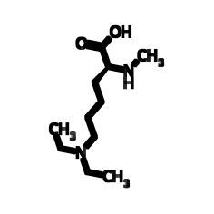 CCN(CC)CCCC[C@H](NC)C(=O)O